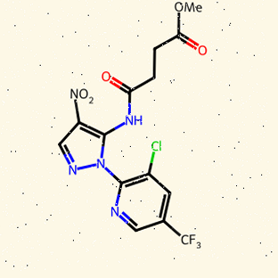 COC(=O)CCC(=O)Nc1c([N+](=O)[O-])cnn1-c1ncc(C(F)(F)F)cc1Cl